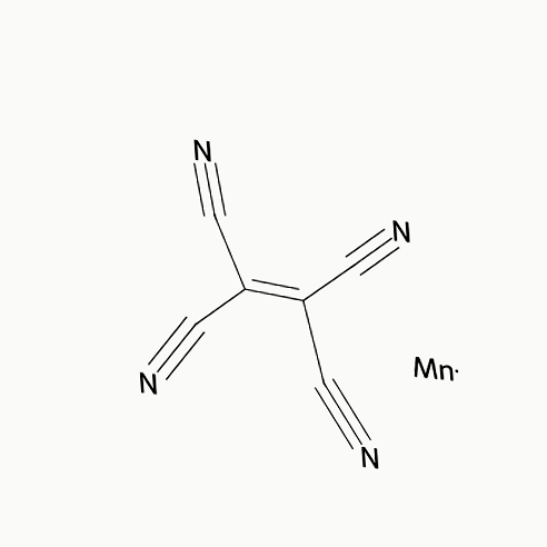 N#CC(C#N)=C(C#N)C#N.[Mn]